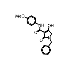 COc1ccc(NC(=O)C2=C(O)CN(Cc3ccccc3)C2=O)cc1